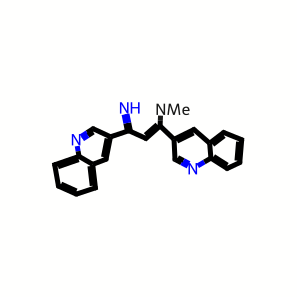 CN/C(=C\C(=N)c1cnc2ccccc2c1)c1cnc2ccccc2c1